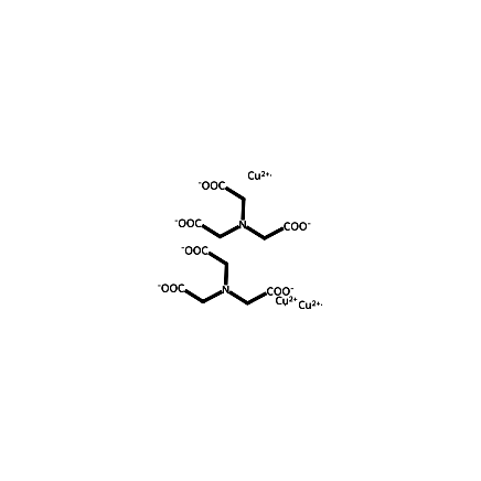 O=C([O-])CN(CC(=O)[O-])CC(=O)[O-].O=C([O-])CN(CC(=O)[O-])CC(=O)[O-].[Cu+2].[Cu+2].[Cu+2]